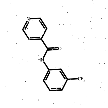 O=C(Nc1cccc(C(F)(F)F)c1)c1ccncc1